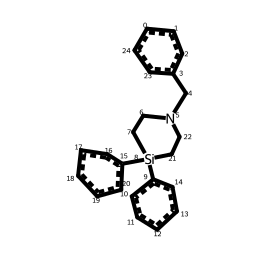 c1ccc(CN2CC[Si](c3ccccc3)(c3ccccc3)CC2)cc1